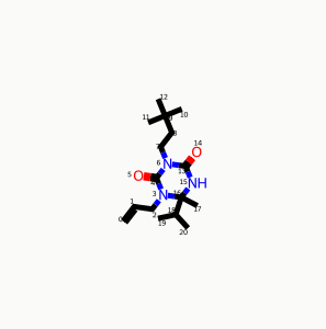 C=CCN1C(=O)N(CCC(C)(C)C)C(=O)NC1(C)C(C)C